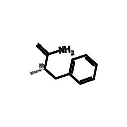 C=C(N)[C@@H](C)Cc1ccccc1